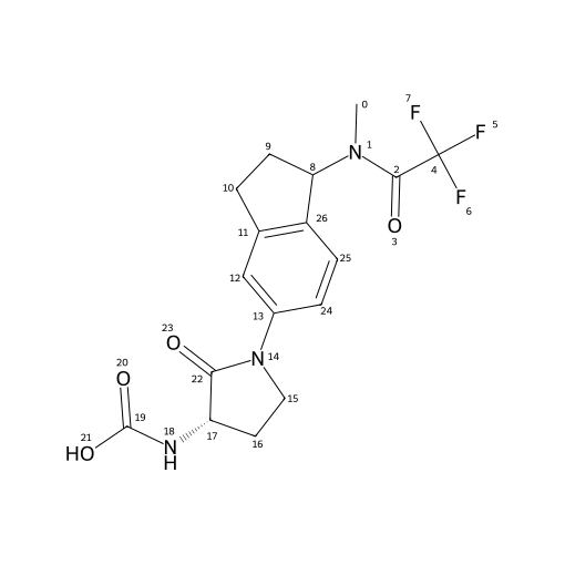 CN(C(=O)C(F)(F)F)C1CCc2cc(N3CC[C@H](NC(=O)O)C3=O)ccc21